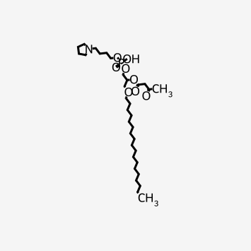 CCCCCCCCCCCCCCCCCCOCC(COP(=O)(O)OCCCCN1CCCC1)OC(=O)CC(C)=O